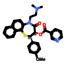 COc1ccc([C@@H]2Sc3c(ccc4ccccc34)N(CCN(C)C)C(=O)[C@@H]2OC(=O)c2cccnc2)cc1